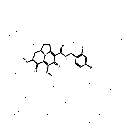 CCN1CC2CCc3c(C(=O)NCc4ccc(F)cc4F)c(=O)c(OC)c(n32)C1=O